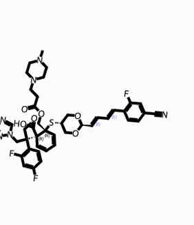 CCC(Cn1cncn1)(c1ccc(F)cc1F)[C@@]1(C(=O)O)C=CC=C[C@@]1(COC(=O)CCN1CCN(C)CC1)S[C@H]1CO[C@H](/C=C/C=C/c2ccc(C#N)cc2F)OC1